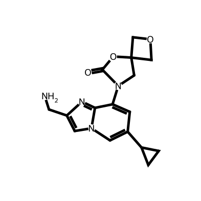 NCc1cn2cc(C3CC3)cc(N3CC4(COC4)OC3=O)c2n1